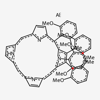 COc1cccc(OC)c1-c1c(-c2c(OC)cccc2OC)c2c(-c3c(OC)cccc3OC)c3nc(cc4ccc(cc5nc(cc1n2-c1c(OC)cccc1OC)C=C5)[nH]4)C=C3.[Al]